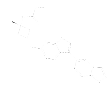 CCC(=O)N[C@]1(C)C[C@H](Nc2ncc3c(-c4ccc5nncn5c4)c[nH]c3n2)C1